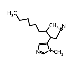 CCCCCCC(C)C(CC#N)c1cncn1C